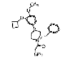 COc1ccc(N2CCN(C(=O)CN)[C@@H](Cc3ccccc3)C2)cc1OC1CCC1